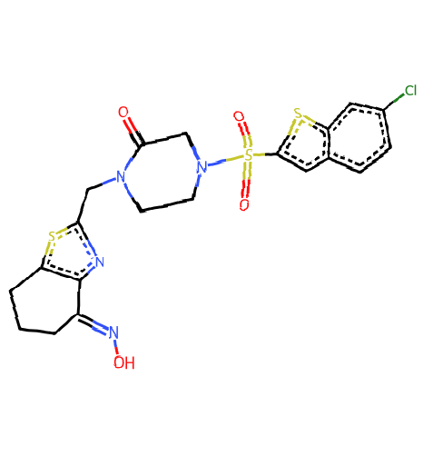 O=C1CN(S(=O)(=O)c2cc3ccc(Cl)cc3s2)CCN1Cc1nc2c(s1)CCC/C2=N\O